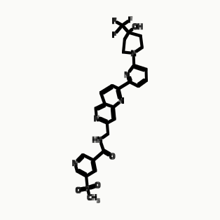 CS(=O)(=O)c1cncc(C(=O)NCc2cc3nc(-c4cccc(N5CCC(O)(C(F)(F)F)CC5)n4)ccc3cn2)c1